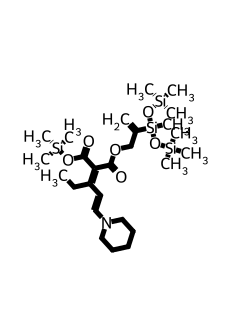 C=C(COC(=O)/C(C(=O)O[Si](C)(C)C)=C(\C=C\N1CCCCC1)CC)[Si](C)(O[Si](C)(C)C)O[Si](C)(C)C